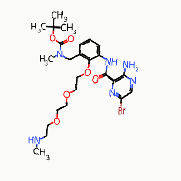 CNCCOCCOCCOc1c(CN(C)C(=O)OC(C)(C)C)cccc1NC(=O)c1nc(Br)cnc1N